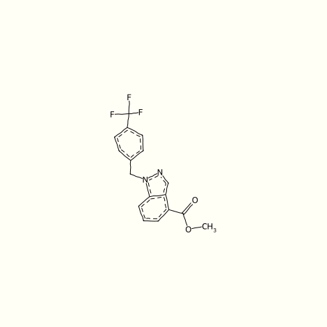 COC(=O)c1cccc2c1cnn2Cc1ccc(C(F)(F)F)cc1